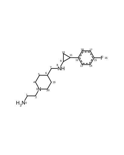 NCCN1CCC(CNC2CC2c2ccc(F)cc2)CC1